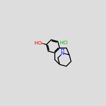 Cl.Oc1ccc2c(c1)CC1CCC(C2)NC1